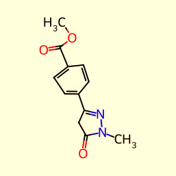 COC(=O)c1ccc(C2=NN(C)C(=O)C2)cc1